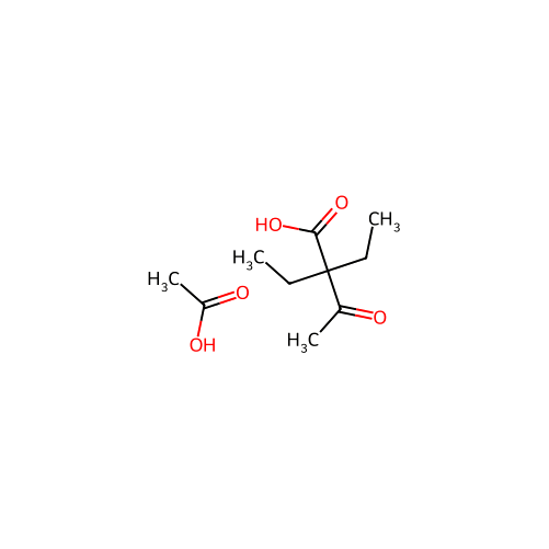 CC(=O)O.CCC(CC)(C(C)=O)C(=O)O